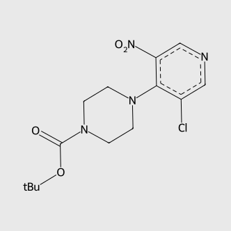 CC(C)(C)OC(=O)N1CCN(c2c(Cl)cncc2[N+](=O)[O-])CC1